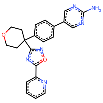 Nc1ncc(-c2ccc(C3(c4noc(-c5ccccn5)n4)CCOCC3)cc2)cn1